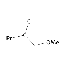 [CH2-][C+](COC)C(C)C